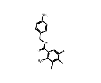 Cc1c(C(=O)NCc2ccc(N)cc2)cc(F)c(F)c1F